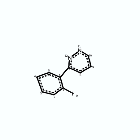 Fc1ccccc1-c1cccnn1